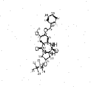 COc1cc2c(cc1OCc1ccccc1)NC(=O)[C@@H]1C[C@H](O[Si](C)(C)C(C)(C)C)CN1C2=O